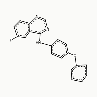 Fc1ccc2ncnc(Nc3ccc(Oc4ccccc4)cc3)c2c1